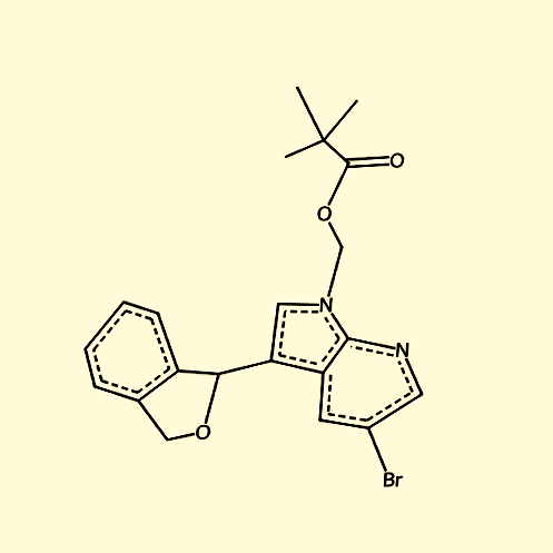 CC(C)(C)C(=O)OCn1cc(C2OCc3ccccc32)c2cc(Br)cnc21